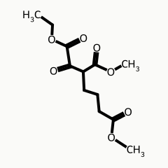 CCOC(=O)C(=O)C(CCCC(=O)OC)C(=O)OC